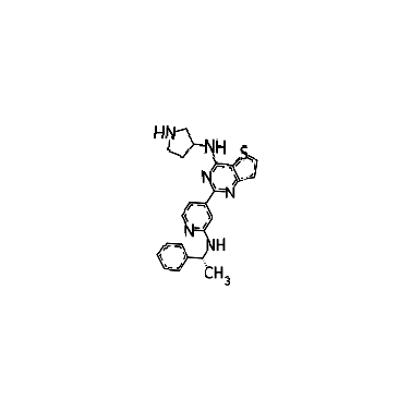 C[C@@H](Nc1cc(-c2nc(NC3CCNC3)c3sccc3n2)ccn1)c1ccccc1